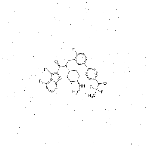 CN[C@H]1CC[C@H](N(Cc2cc(-c3ccc(C(=O)C(C)(F)F)cc3)ccc2F)C(=O)c2sc3cccc(F)c3c2Cl)CC1